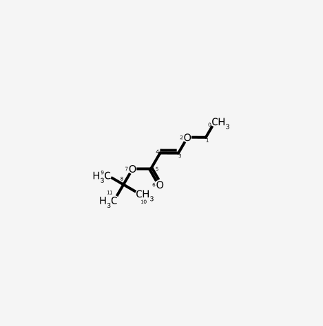 CCOC=CC(=O)OC(C)(C)C